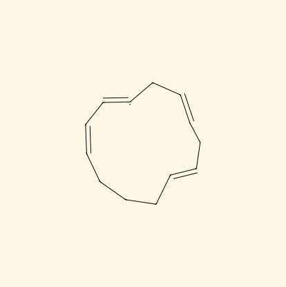 [C]1=C/C=C\CCC/C=C/C/C=C/C/1